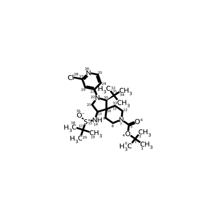 CC(C)(C)OC(=O)N1CCC2(CC1)C(N[S@+]([O-])C(C)(C)C)CN(c1ccnc(Cl)c1)[C@H]2C(C)(C)C